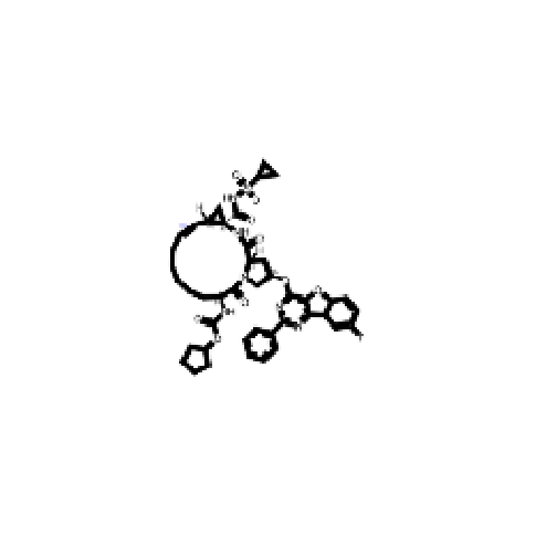 O=C(N[C@H]1CCCCC/C=C\[C@@H]2C[C@@]2(C(=O)NS(=O)(=O)C2CC2)NC(=O)[C@@H]2C[C@@H](Oc3nc(-c4ccccc4)nc4c3OC3C=CC(F)=CC43)CN2C1=O)OC1CCCC1